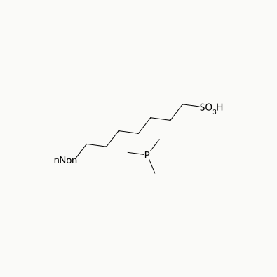 CCCCCCCCCCCCCCCCS(=O)(=O)O.CP(C)C